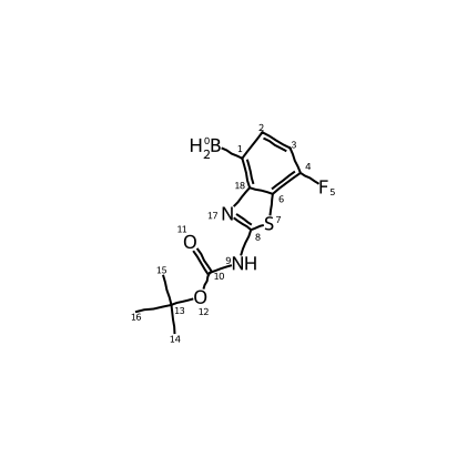 Bc1ccc(F)c2sc(NC(=O)OC(C)(C)C)nc12